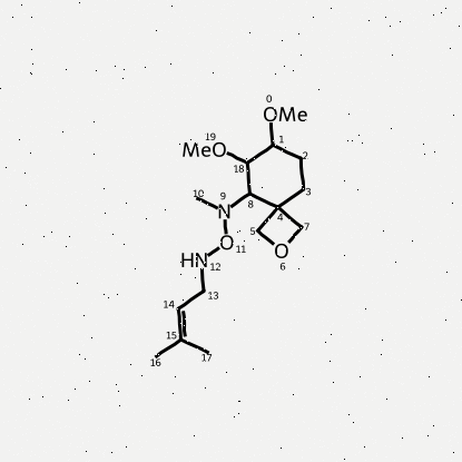 COC1CCC2(COC2)C(N(C)ONCC=C(C)C)C1OC